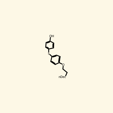 CCCCCCCCCCCCOc1ccc(Sc2ccc(O)cc2)cc1